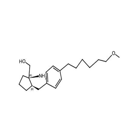 COCCCCCCc1ccc(C[C@H]2CCC[C@]2(N)CO)cc1